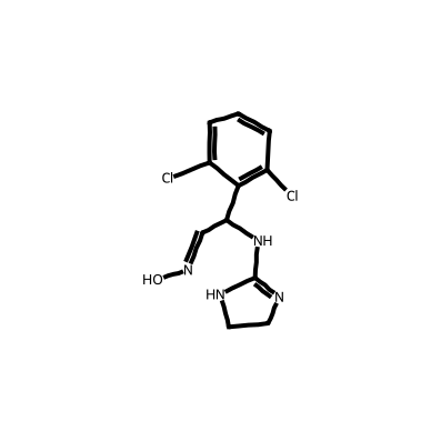 ON=CC(NC1=NCCN1)c1c(Cl)cccc1Cl